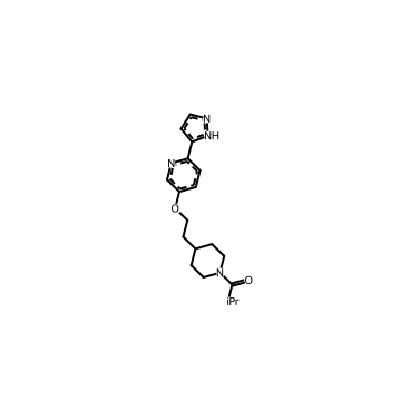 CC(C)C(=O)N1CCC(CCOc2ccc(-c3ccn[nH]3)nc2)CC1